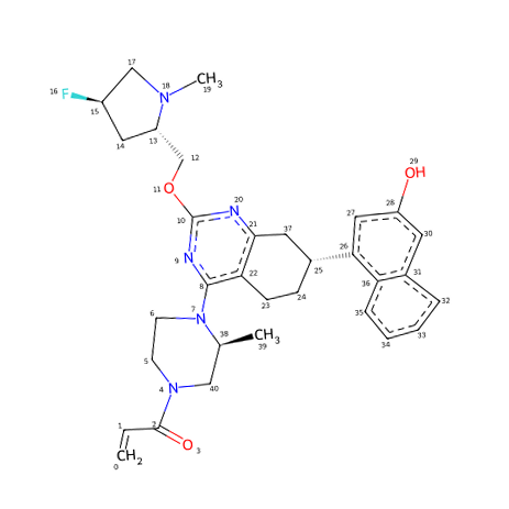 C=CC(=O)N1CCN(c2nc(OC[C@@H]3C[C@@H](F)CN3C)nc3c2CC[C@@H](c2cc(O)cc4ccccc24)C3)[C@@H](C)C1